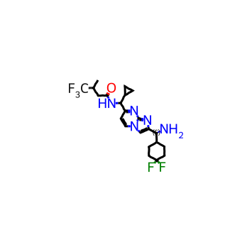 CC(CC(=O)NC(c1ccn2cc([C@@H](N)C3CCC(F)(F)CC3)nc2n1)C1CC1)C(F)(F)F